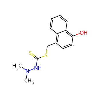 CN(C)NC(=S)SCc1c[c]c(O)c2ccccc12